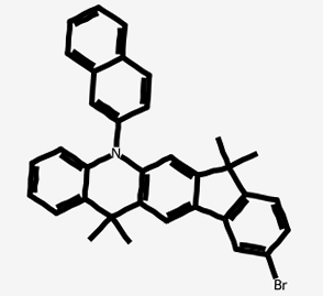 CC1(C)c2ccc(Br)cc2-c2cc3c(cc21)N(c1ccc2ccccc2c1)c1ccccc1C3(C)C